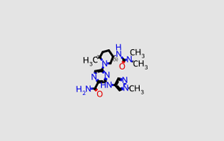 C[C@@H]1CC[C@H](NC(=O)N(C)C)CN1c1cnc(C(N)=O)c(Nc2cnn(C)c2)n1